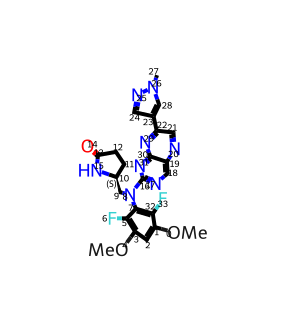 COc1cc(OC)c(F)c(N(C[C@@H]2CCC(=O)N2)c2ncc3ncc(-c4cnn(C)c4)nc3n2)c1F